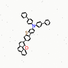 c1ccc(-c2ccc(N(c3ccc(-c4ccccc4)cc3)c3ccc4c(c3)sc3cc(-c5ccc6ccc7cccc8oc5c6c78)ccc34)cc2)cc1